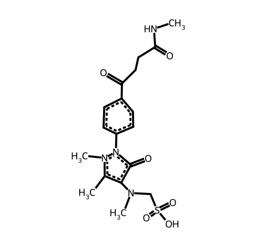 CNC(=O)CCC(=O)c1ccc(-n2c(=O)c(N(C)CS(=O)(=O)O)c(C)n2C)cc1